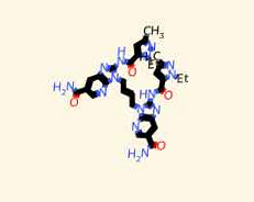 CCn1nc(C)cc1C(=O)Nc1nc2cc(C(N)=O)cnc2n1CC=CCn1c(NC(=O)c2cc(C)nn2CC)nc2cc(C(N)=O)cnc21